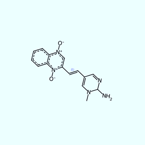 CN1C=C(/C=C/c2c[n+]([O-])c3ccccc3[n+]2[O-])C=NC1N